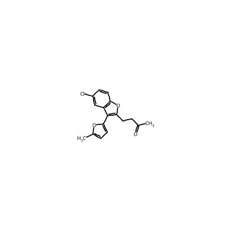 CC(=O)CCc1oc2ccc(Cl)cc2c1-c1ccc(C)o1